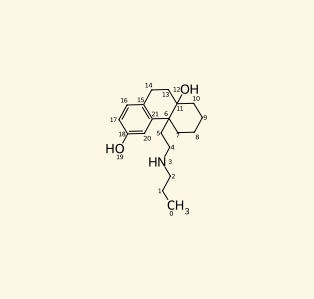 CCCNCCC12CCCCC1(O)CCc1ccc(O)cc12